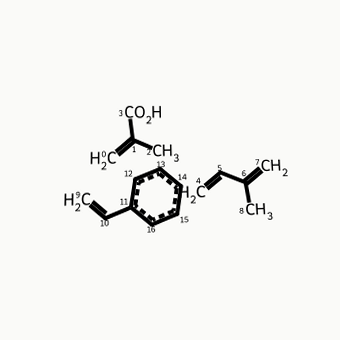 C=C(C)C(=O)O.C=CC(=C)C.C=Cc1ccccc1